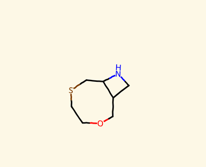 C1CSCC2NCC2CO1